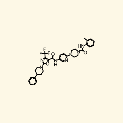 Cc1ccccc1NC(=O)N1CCN(c2ccc(NC(=O)c3oc(N4CCC(c5ccccc5)CC4)nc3C(F)(F)F)cn2)CC1